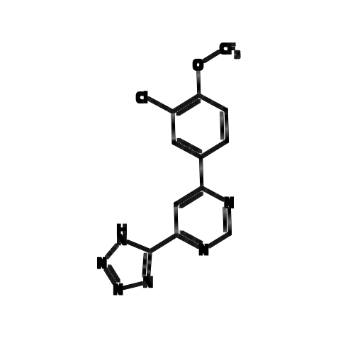 FC(F)(F)Oc1ccc(-c2cc(-c3nnn[nH]3)ncn2)cc1Cl